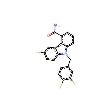 NC(=O)c1cccc2c1c1[c]c(F)ccc1n2Cc1ccc(F)c(F)c1